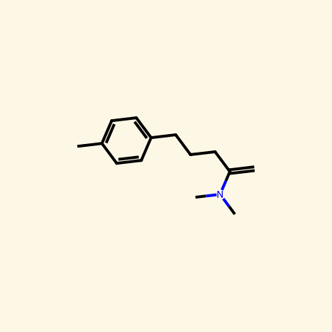 C=C(CCCc1ccc(C)cc1)N(C)C